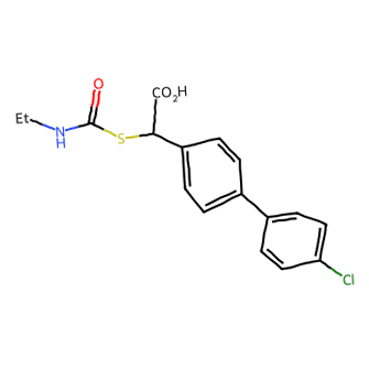 CCNC(=O)SC(C(=O)O)c1ccc(-c2ccc(Cl)cc2)cc1